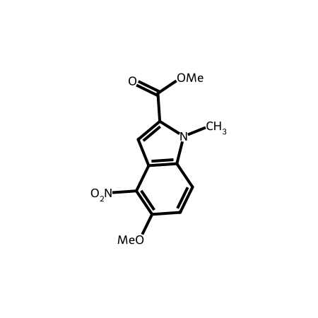 COC(=O)c1cc2c([N+](=O)[O-])c(OC)ccc2n1C